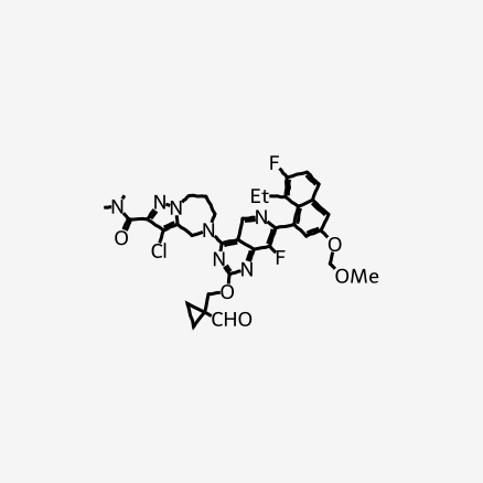 CCc1c(F)ccc2cc(OCOC)cc(-c3ncc4c(N5CCCn6nc(C(=O)N(C)C)c(Cl)c6C5)nc(OCC5(C=O)CC5)nc4c3F)c12